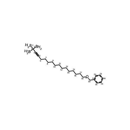 BC(B)(B)C#CCCCCCCCCCCCCCOCc1ccccc1